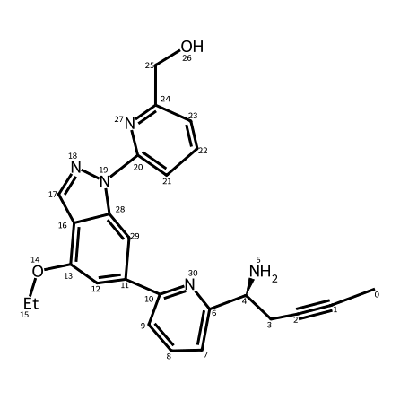 CC#CC[C@H](N)c1cccc(-c2cc(OCC)c3cnn(-c4cccc(CO)n4)c3c2)n1